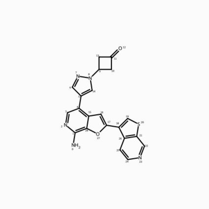 Nc1ncc(-c2cnn(C3CC(=O)C3)c2)c2cc(-c3csc4cnccc34)oc12